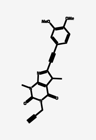 C#CCn1c(=O)c2c(n(C)c1=O)N=C(C#Cc1ccc(OC)c(OC)c1)C2C